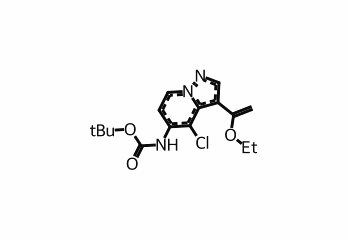 C=C(OCC)c1cnn2ccc(NC(=O)OC(C)(C)C)c(Cl)c12